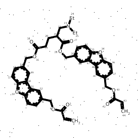 C=CC(=O)OCc1ccc2oc3ccc(COC(=O)CCC(CN(CC)CC)C(=O)OCc4ccc5oc6ccc(COC(=O)C=C)cc6c5c4)cc3c2c1